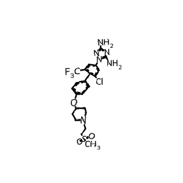 CS(=O)(=O)CCN1CCC(Oc2ccc(-c3c(Cl)cc(-n4nc(N)nc4N)cc3C(F)(F)F)cc2)CC1